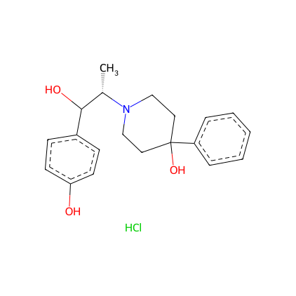 C[C@@H](C(O)c1ccc(O)cc1)N1CCC(O)(c2ccccc2)CC1.Cl